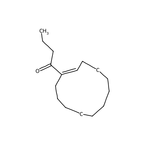 CCCC(=O)/C1=C\CCCCCCCCCC1